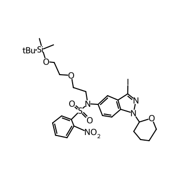 CC(C)(C)[Si](C)(C)OCCOCCN(c1ccc2c(c1)c(I)nn2C1CCCCO1)S(=O)(=O)c1ccccc1[N+](=O)[O-]